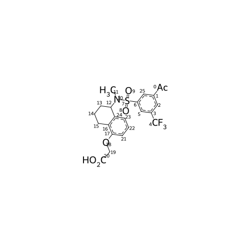 CC(=O)c1cc(C(F)(F)F)cc(S(=O)(=O)N(C)C2CCCc3c(OCC(=O)O)cccc32)c1